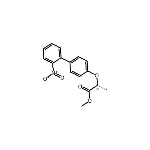 COC(=O)[C@@H](C)Oc1ccc(-c2ccccc2[N+](=O)[O-])cc1